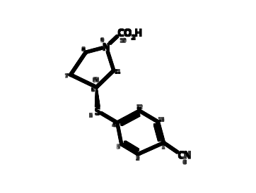 N#Cc1ccc(S[C@H]2CCN(C(=O)O)C2)cc1